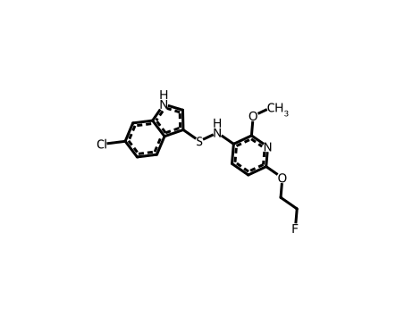 COc1nc(OCCF)ccc1NSc1c[nH]c2cc(Cl)ccc12